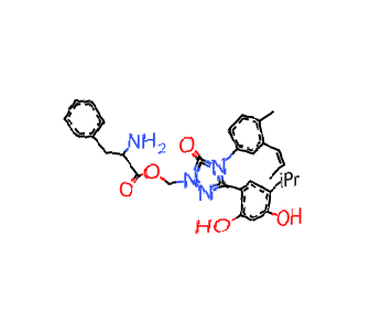 C/C=C\c1cc(-n2c(-c3cc(C(C)C)c(O)cc3O)nn(COC(=O)C(N)Cc3ccccc3)c2=O)ccc1C